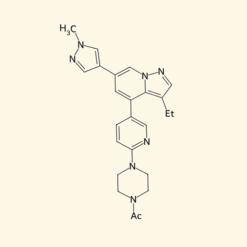 CCc1cnn2cc(-c3cnn(C)c3)cc(-c3ccc(N4CCN(C(C)=O)CC4)nc3)c12